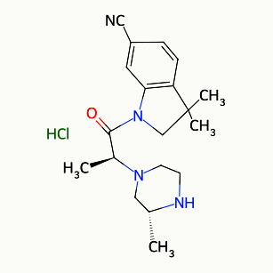 C[C@@H]1CN([C@@H](C)C(=O)N2CC(C)(C)c3ccc(C#N)cc32)CCN1.Cl